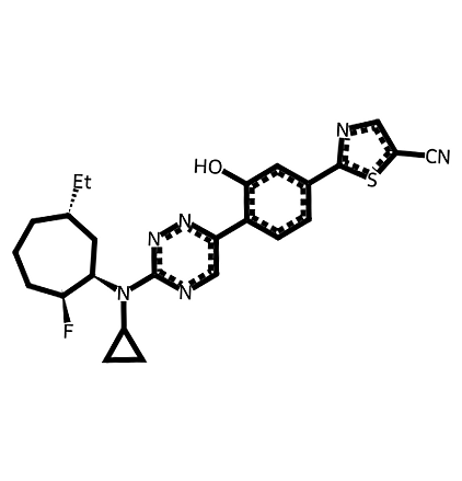 CC[C@H]1CCC[C@H](F)[C@H](N(c2ncc(-c3ccc(-c4ncc(C#N)s4)cc3O)nn2)C2CC2)C1